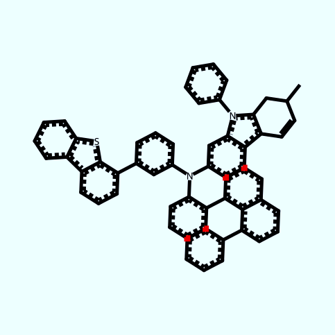 CC1C=Cc2c(n(-c3ccccc3)c3cc(N(c4cccc(-c5cccc6c5sc5ccccc56)c4)c4ccccc4-c4cccc5cccc(-c6ccccc6)c45)ccc23)C1